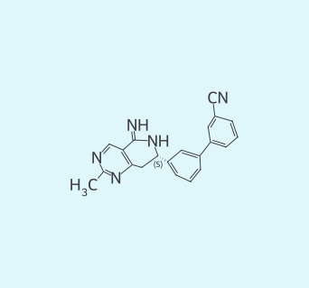 Cc1ncc2c(n1)C[C@@H](c1cccc(-c3cccc(C#N)c3)c1)NC2=N